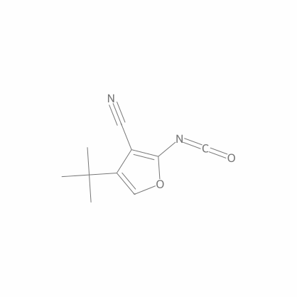 CC(C)(C)c1coc(N=C=O)c1C#N